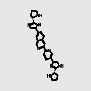 c1cc(-c2cc3ccc(-c4cnc([C@@H]5CCCN5)[nH]4)cc3cn2)ncc1-c1c[nH]c([C@@H]2CCCN2)n1